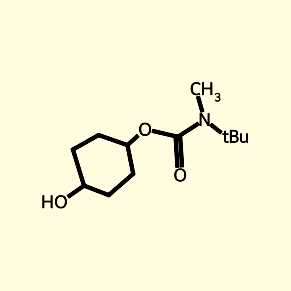 CN(C(=O)OC1CCC(O)CC1)C(C)(C)C